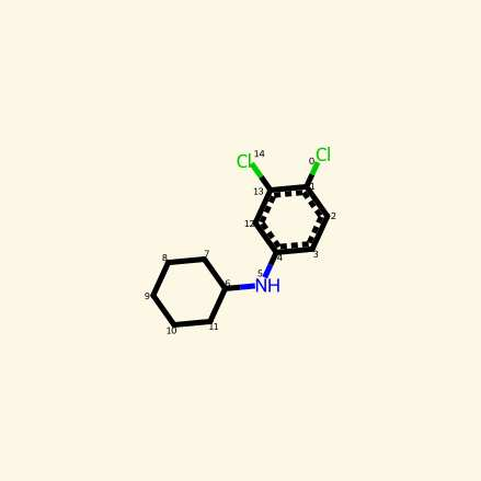 Clc1ccc(NC2CCCCC2)cc1Cl